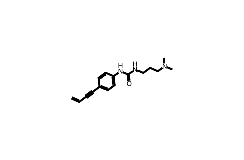 C=CC#Cc1ccc(NC(=O)NCCCN(C)C)cc1